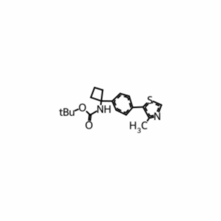 Cc1ncsc1-c1ccc(C2(NC(=O)OC(C)(C)C)CCC2)cc1